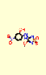 COC1=NS(=O)(=O)N=C1Nc1ccc([N+](=O)[O-])cc1O